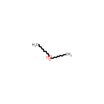 CCCCCCCCCCC(=O)OC(=O)CCCCCCCCCC